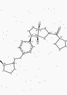 C[C@@H]1CCCN1CCc1ccc([C@H]2CC[C@@H]3CN(C(=O)C4CCCC4)C[C@@H]32)cc1